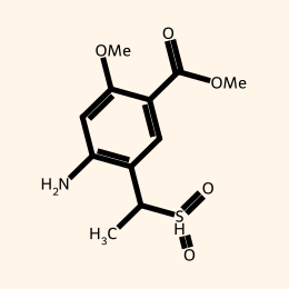 COC(=O)c1cc(C(C)[SH](=O)=O)c(N)cc1OC